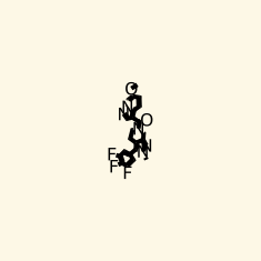 COc1ccc2c(C(=O)N3CCc4c(nn(C)c4-c4cc(F)c(F)c(F)c4)C3)cnn2c1